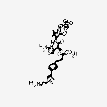 C[n+]1cc(-c2ccc(CCC(ON=C(C(=O)NC3C(=O)N(OS(=O)(=O)[O-])C3(C)C)c3csc(N)n3)C(=O)O)cc2)cn1CCCN